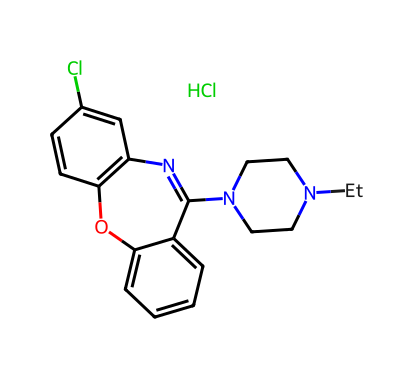 CCN1CCN(C2=Nc3cc(Cl)ccc3Oc3ccccc32)CC1.Cl